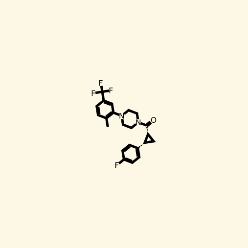 Cc1ccc(C(F)(F)F)cc1N1CCN(C(=O)[C@@H]2C[C@@H]2c2ccc(F)cc2)CC1